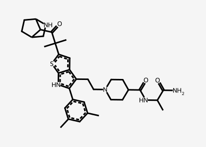 Cc1cc(C)cc(-c2[nH]c3sc(C(C)(C)C(=O)C4C5CCC4NC5)cc3c2CCN2CCC(C(=O)NC(C)C(N)=O)CC2)c1